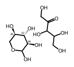 O=C(CO)C(O)C(O)CO.OC1OC[C@@H](O)[C@H](O)[C@H]1O